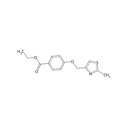 CCOC(=O)c1ccc(OCc2csc(C)n2)cc1